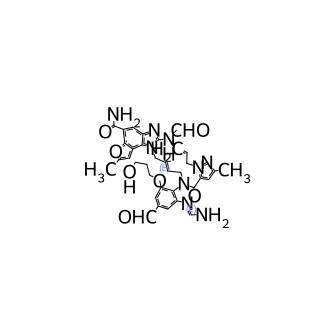 C=CCn1nc(C)cc1C(=O)N(C/C=C/Cn1c(NC=O)nc2cc(C(N)=O)c3oc(C)cc3c21)c1c(/N=C/N)cc(C=O)cc1OCCCO